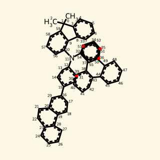 CC1(C)c2ccccc2-c2c(N(c3ccc(-c4ccc5c(ccc6ccccc65)c4)cc3)c3ccccc3-c3ccccc3-c3ccccc3-c3ccccc3)cccc21